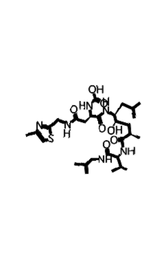 Cc1csc(CNC(=O)C[C@@H](NC(=O)O)C(=O)N[C@@H](CC(C)C)[C@@H](O)C[C@@H](C)C(=O)N[C@H](C(=O)NCC(C)C)C(C)C)n1